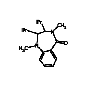 CC(C)C1C(C(C)C)N(C)c2ccccc2C(=O)N1C